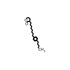 CCCCCc1ccc(CCCCCCCCC2CCCOC2=O)cc1